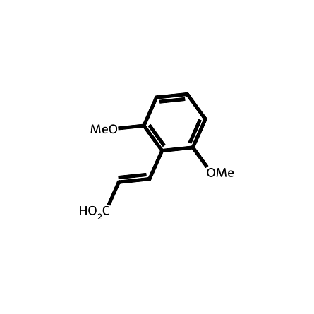 COc1cccc(OC)c1C=CC(=O)O